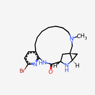 CN1CCCCCCCc2ccc(Br)nc2NC(=O)[C@@H]2C[C@]3(C[C@H]3N2)C1